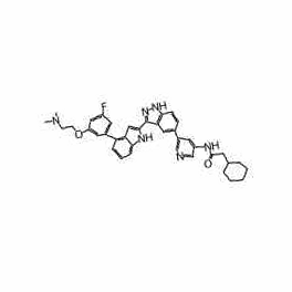 CN(C)CCOc1cc(F)cc(-c2cccc3[nH]c(-c4n[nH]c5ccc(-c6cncc(NC(=O)CC7CCCCC7)c6)cc45)cc23)c1